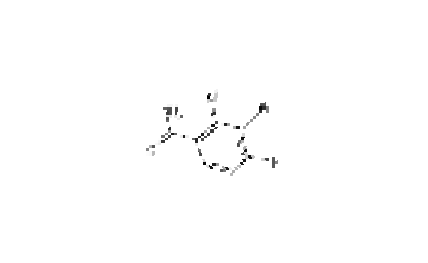 CCc1c(F)ccc(C(N)=O)c1Cl